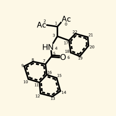 CC(=O)C(C(C)=O)C(NC(=O)c1cccc2ccccc12)c1ccccc1